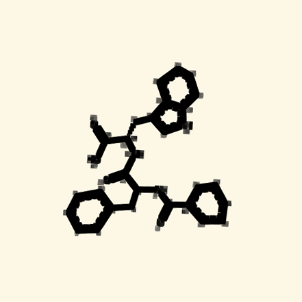 O=C(NC(Cc1[c]cccc1)C(=O)N[C@@H](Cc1c[nH]c2ccccc12)C(=O)O)c1ccccc1